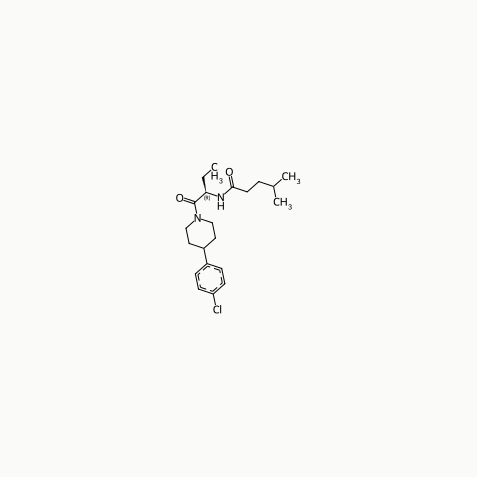 CC[C@@H](NC(=O)CCC(C)C)C(=O)N1CCC(c2ccc(Cl)cc2)CC1